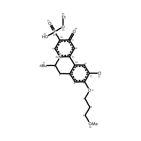 CCCCC1Cc2cc(OCCCOC)c(Cl)cc2-c2cc(=O)c(P(=O)(O)OCC)cn21